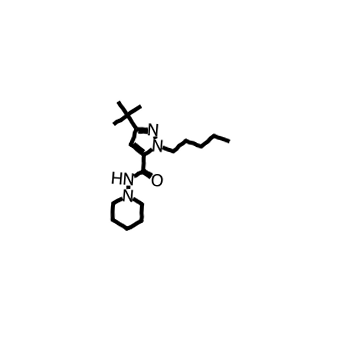 CCCCCn1nc(C(C)(C)C)cc1C(=O)NN1CCCCC1